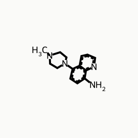 CN1CCN(c2ccc(N)c3ncccc23)CC1